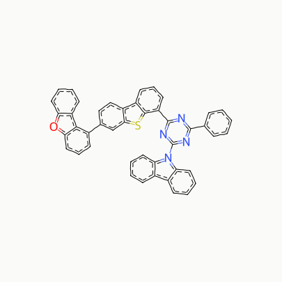 c1ccc(-c2nc(-c3cccc4c3sc3cc(-c5cccc6oc7ccccc7c56)ccc34)nc(-n3c4ccccc4c4ccccc43)n2)cc1